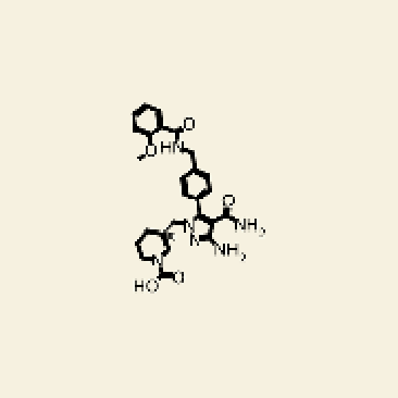 COc1ccccc1C(=O)NCc1ccc(-c2c(C(N)=O)c(N)nn2C[C@@H]2CCCN(C(=O)O)C2)cc1